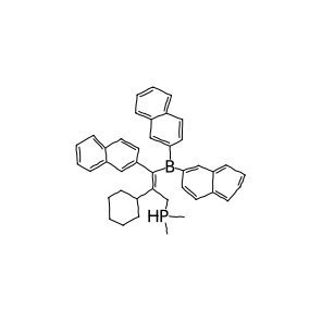 C[PH](C)(C)C/C(=C(\B(c1ccc2ccccc2c1)c1ccc2ccccc2c1)c1ccc2ccccc2c1)C1CCCCC1